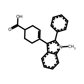 Cn1c(-c2ccccc2)c(C2=CCC(C(=O)O)CC2)c2ccccc21